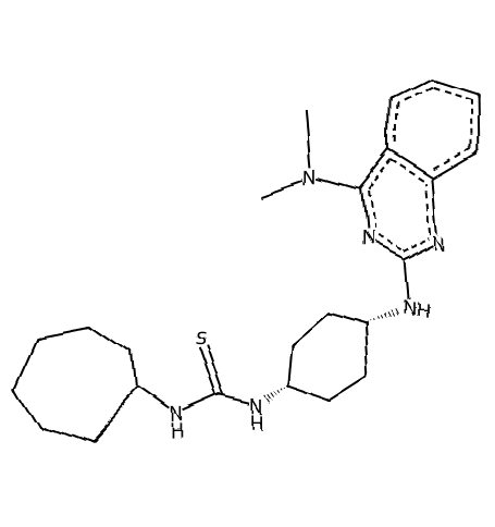 CN(C)c1nc(N[C@H]2CC[C@@H](NC(=S)NC3CCCCCC3)CC2)nc2ccccc12